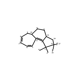 CC1(C)C2=C3C=CN=CCC3CCC2CC1(F)F